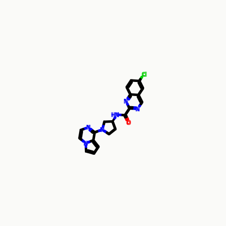 O=C(N[C@H]1CCN(c2nccn3cccc23)C1)c1ncc2cc(Cl)ccc2n1